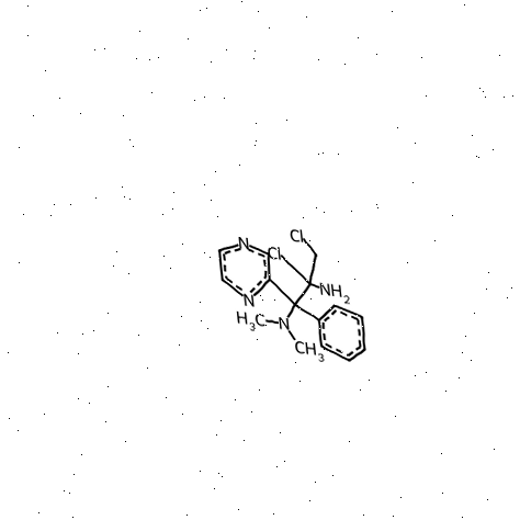 CN(C)C(c1ccccc1)(c1cnccn1)C(N)(Cl)CCl